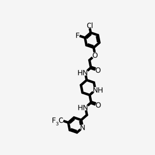 O=C(COc1ccc(Cl)c(F)c1)NC1CCC(C(=O)NCc2cc(C(F)(F)F)ccn2)NC1